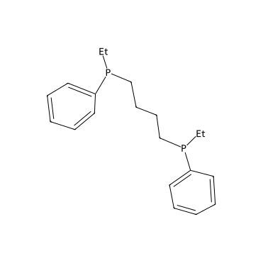 CCP(CCCCP(CC)c1ccccc1)c1ccccc1